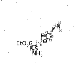 CCOC(=O)c1nc(N)sc1CCCOc1ccc(C#CCN(C)C)cc1F